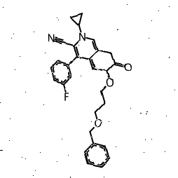 N#CC1=C(c2cccc(F)c2)C2=CC(OCCCOCc3ccccc3)C(=O)CC2=CN1C1CC1